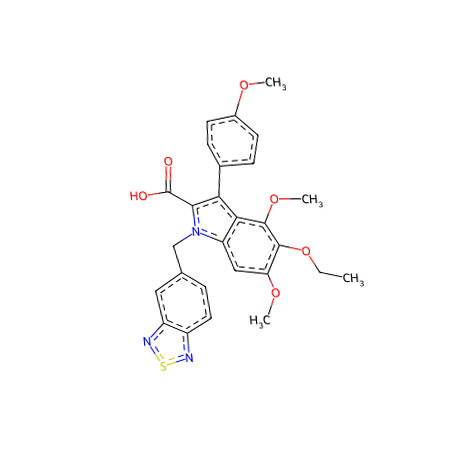 CCOc1c(OC)cc2c(c1OC)c(-c1ccc(OC)cc1)c(C(=O)O)n2Cc1ccc2nsnc2c1